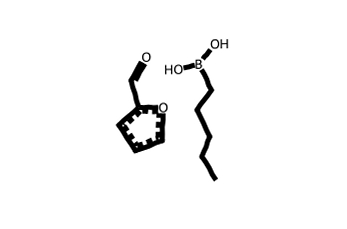 CCCCCB(O)O.O=Cc1ccco1